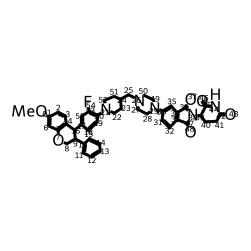 COc1ccc2c(c1)OCC(c1ccccc1)C2c1ccc(N2CCC(CN3CCN(c4ccc5c(c4)C(=O)N(C4CCC(=O)NC4=O)C5=O)CC3)CC2)c(F)c1